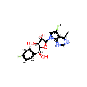 Cc1ncnc2c1c(F)cn2C1OC(C(O)c2ccc(F)cc2)C(O)C1O